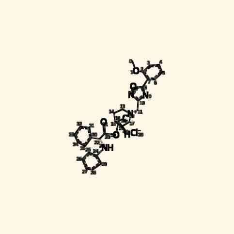 COc1ccccc1-c1nc(C[N+]23CCC(CC2)[C@@H](OC(=O)[C@H](Nc2ccccc2)c2ccccc2)C3)no1.[Cl-]